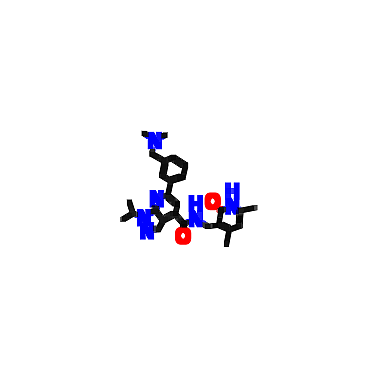 Cc1cc(C)c(CNC(=O)c2cc(-c3cccc(CN(C)C)c3)nc3c2cnn3C(C)C)c(=O)[nH]1